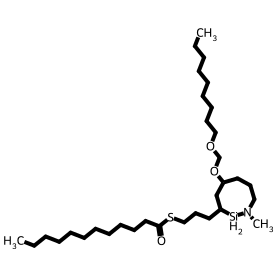 CCCCCCCCCCCC(=O)SCCCC1CC(OCOCCCCCCCCC)CCCN(C)[SiH2]1